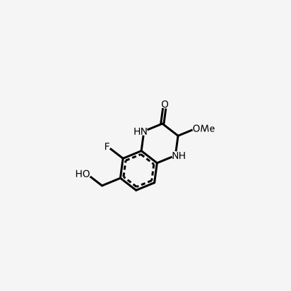 COC1Nc2ccc(CO)c(F)c2NC1=O